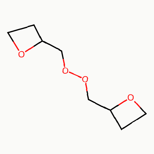 C1CC(COOCC2CCO2)O1